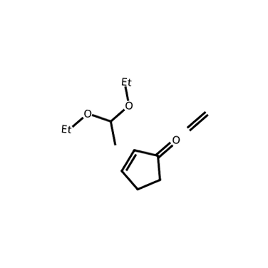 C=C.CCOC(C)OCC.O=C1C=CCC1